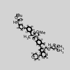 COCN(c1ccc(-c2cc3c(N4CCOCC4)ncnc3n2COCC[Si](C)(C)C)c(F)c1)S(=O)(=O)C(C)c1cccc(N2CC[C@@H](NC(=O)OC(C)(C)C)C2)c1